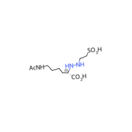 CC(=O)NCCCC[C@H](NNCCS(=O)(=O)O)C(=O)O